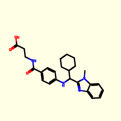 Cn1c(C(Nc2ccc(C(=O)NCCC(=O)O)cc2)C2CCCCC2)nc2ccccc21